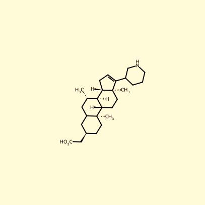 C[C@H]1CC2C[C@H](CC(=O)O)CC[C@]2(C)[C@H]2CC[C@]3(C)C(C4CCCNC4)=CC[C@H]3[C@H]12